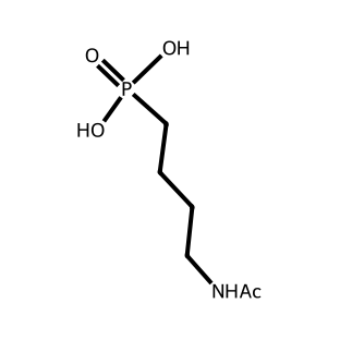 CC(=O)NCCCCP(=O)(O)O